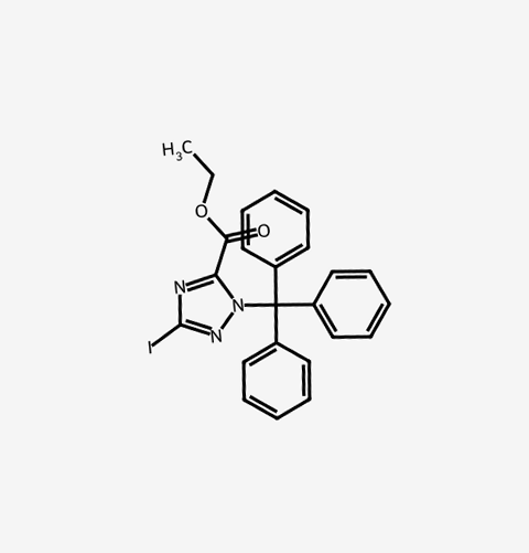 CCOC(=O)c1nc(I)nn1C(c1ccccc1)(c1ccccc1)c1ccccc1